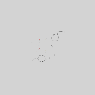 C=Cc1ccc(C=C)c(CSC(=O)C(CC)C(=O)SCc2cc(C=C)ccc2C=C)c1